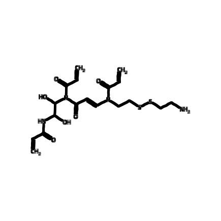 C=CC(=O)NC(O)C(O)N(C(=O)C=C)C(=O)C=CN(CCSSCCN)C(=O)C=C